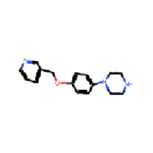 c1cncc(COc2ccc(N3CCNCC3)cc2)c1